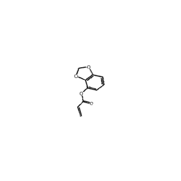 C=CC(=O)Oc1cccc2c1OCO2